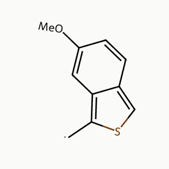 [CH2]c1scc2ccc(OC)cc12